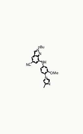 CCCCn1cc2cc(C#N)cc(Nc3ccc(-n4cnc(C)c4)c(OC)c3)c2n1